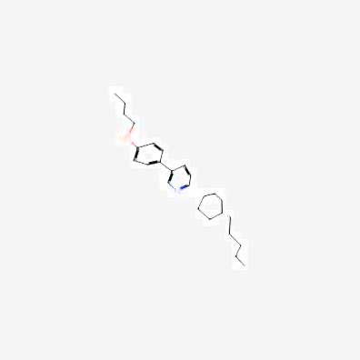 CCCCC[C@H]1CC[C@H](c2ccc(-c3ccc(OCCCC)cc3)cn2)CC1